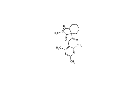 COC(=O)C1(C(=O)Cc2c(C)cc(C)cc2C)CCCCC1C